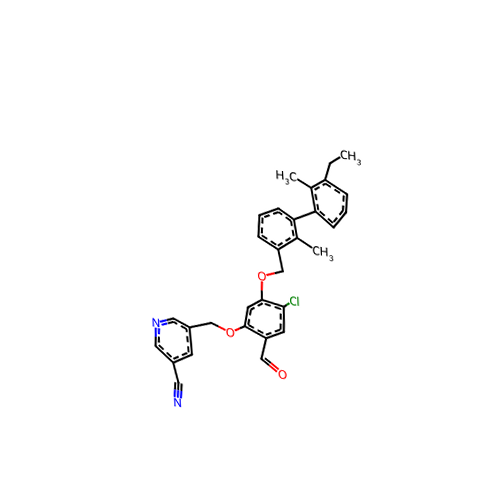 CCc1cccc(-c2cccc(COc3cc(OCc4cncc(C#N)c4)c(C=O)cc3Cl)c2C)c1C